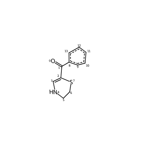 O=C(C1=CNCCS1)c1ccccc1